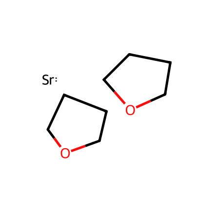 C1CCOC1.C1CCOC1.[Sr]